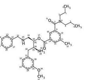 CCCN(CCC)C(=O)c1cc(C)cc(C(=O)O[C@H](CNCc2ccccc2)[C@@H](N)Cc2cccc(OC)c2)c1